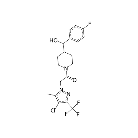 Cc1c(Cl)c(C(F)(F)F)nn1CC(=O)N1CCC(C(O)c2ccc(F)cc2)CC1